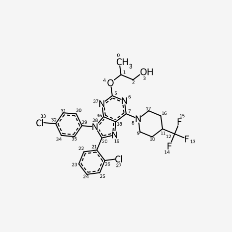 CC(CO)Oc1nc(N2CCC(C(F)(F)F)CC2)c2nc(-c3ccccc3Cl)n(-c3ccc(Cl)cc3)c2n1